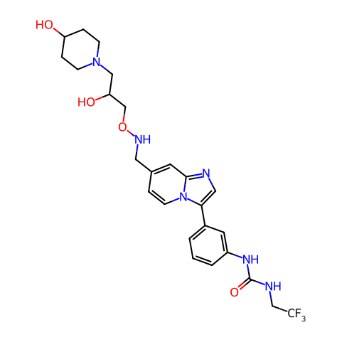 O=C(NCC(F)(F)F)Nc1cccc(-c2cnc3cc(CNOCC(O)CN4CCC(O)CC4)ccn23)c1